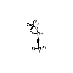 CC[PH](C)(C#C[PH](F)(F)OS(=O)(=O)C(F)(F)F)CC